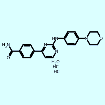 Cl.Cl.NC(=O)c1ccc(-c2ccnc(Nc3ccc(N4CCOCC4)cc3)n2)cc1.O